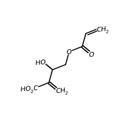 C=CC(=O)OCC(O)C(=C)C(=O)O